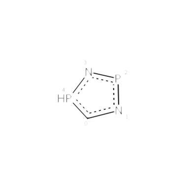 [c]1npn[pH]1